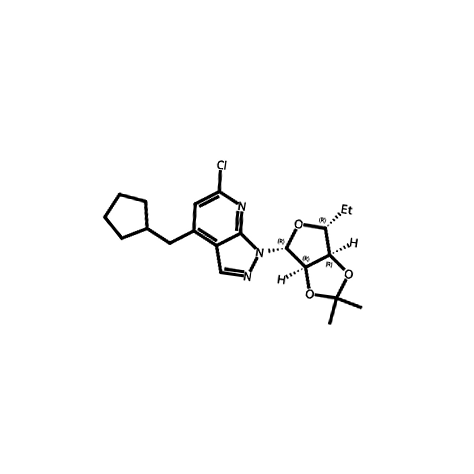 CC[C@H]1O[C@@H](n2ncc3c(CC4CCCC4)cc(Cl)nc32)[C@@H]2OC(C)(C)O[C@@H]21